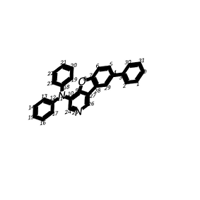 c1ccc(-c2ccc3oc4c(N(c5ccccc5)c5ccccc5)cncc4c3c2)cc1